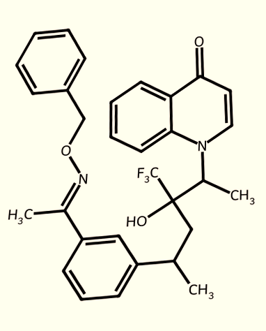 CC(=NOCc1ccccc1)c1cccc(C(C)CC(O)(C(C)n2ccc(=O)c3ccccc32)C(F)(F)F)c1